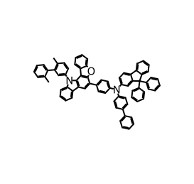 Cc1ccccc1-c1cc(-n2c3ccccc3c3cc(-c4ccc(N(c5ccc(-c6ccccc6)cc5)c5ccc6c(c5)C(c5ccccc5)(c5ccccc5)c5ccccc5-6)cc4)c4oc5ccccc5c4c32)ccc1C